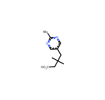 CC(C)(CC(=O)O)Cc1cnc(C(C)(C)C)nc1